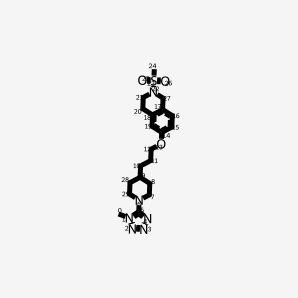 Cn1nnnc1N1CCC(CCCOc2ccc3c(c2)CCN(S(C)(=O)=O)C3)CC1